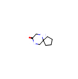 O=C1CNC2(CCCC2)CN1